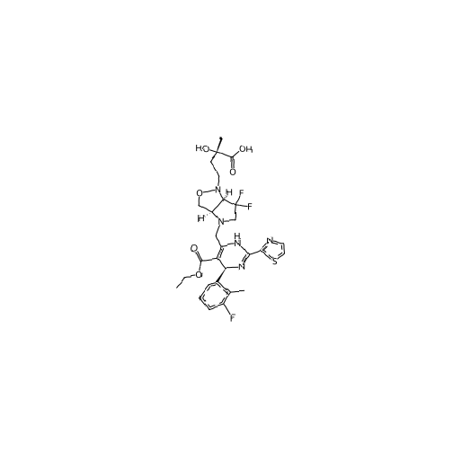 CCOC(=O)C1=C(CN2CC(F)(F)[C@H]3[C@@H]2CON3CC[C@](C)(O)C(=O)O)NC(c2nccs2)=N[C@H]1c1cccc(F)c1C